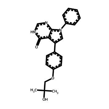 CC(C)(O)COc1ccc(-c2cn(-c3ccccc3)c3nc[nH]c(=O)c23)cc1